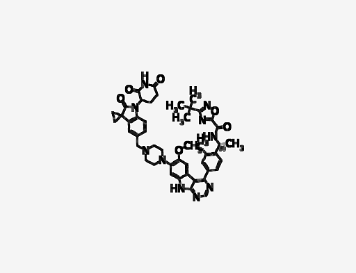 COc1cc2c(cc1N1CCN(Cc3ccc4c(c3)C3(CC3)C(=O)N4C3CCC(=O)NC3=O)CC1)[nH]c1ncnc(-c3ccc([C@@H](C)NC(=O)c4nc(C(C)(C)C)no4)c(C)c3)c12